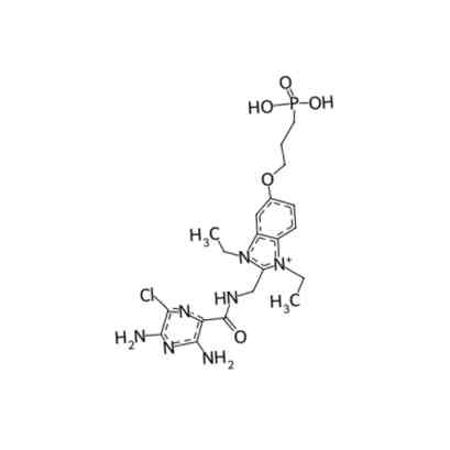 CCn1c(CNC(=O)c2nc(Cl)c(N)nc2N)[n+](CC)c2ccc(OCCCP(=O)(O)O)cc21